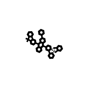 CC1(C)c2ccccc2-c2cc(-c3c4ccccc4c(-c4ccc5c(c4)-c4ccccc4[Si]54Cc5ccccc5C4)c4ccc(-c5ccccc5)cc34)ccc21